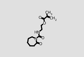 C=C(C)C(=O)OCCNC(=O)N1CCCCCC1=O